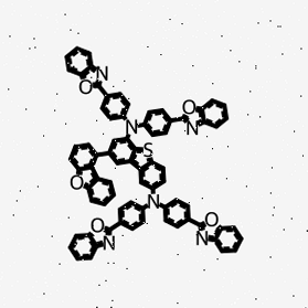 c1ccc2oc(-c3ccc(N(c4ccc(-c5nc6ccccc6o5)cc4)c4ccc5sc6c(N(c7ccc(-c8nc9ccccc9o8)cc7)c7ccc(-c8nc9ccccc9o8)cc7)cc(-c7cccc8oc9ccccc9c78)cc6c5c4)cc3)nc2c1